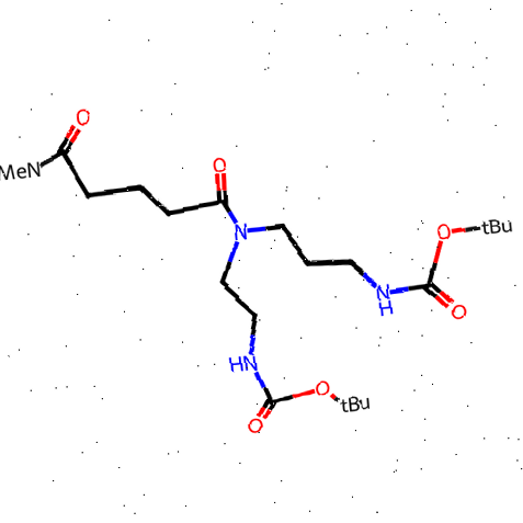 CNC(=O)CCCC(=O)N(CCCNC(=O)OC(C)(C)C)CCNC(=O)OC(C)(C)C